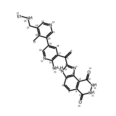 C=C(c1nc2c(ccc3c(=O)[nH][nH]c(=O)c32)[nH]1)c1cc(-c2cncc(CNCC)c2C)cnc1N